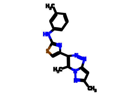 Cc1cccc(Nc2nc(-c3nnc4cc(C)nn4c3C)cs2)c1